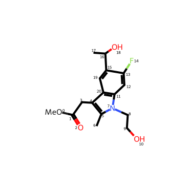 COC(=O)Cc1c(C)n(CCO)c2cc(F)c(C(C)O)cc12